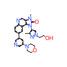 Cc1nn(CCO)cc1-n1c(=O)n(C)c2cnc3ccc(-c4cncc(N5CCOCC5)c4)cc3c21